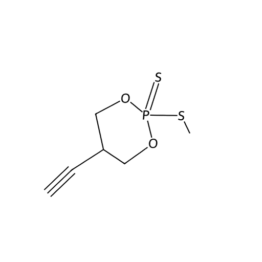 C#CC1COP(=S)(SC)OC1